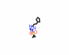 O=S(=O)(C1CC1)n1cnc(CCC2CCCC2)n1